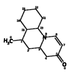 CC1CC2CC(=O)C=CN2C2CCCCC12